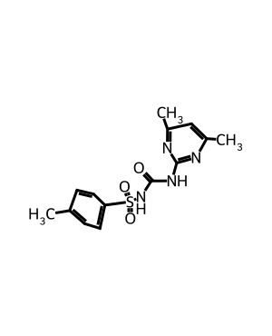 Cc1ccc(S(=O)(=O)NC(=O)Nc2nc(C)cc(C)n2)cc1